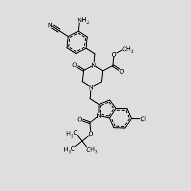 COC(=O)C1CN(Cc2cc3cc(Cl)ccc3n2C(=O)OC(C)(C)C)CC(=O)N1Cc1ccc(C#N)c(N)c1